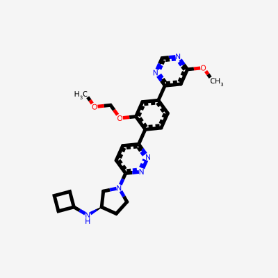 COCOc1cc(-c2cc(OC)ncn2)ccc1-c1ccc(N2CC[C@@H](NC3CCC3)C2)nn1